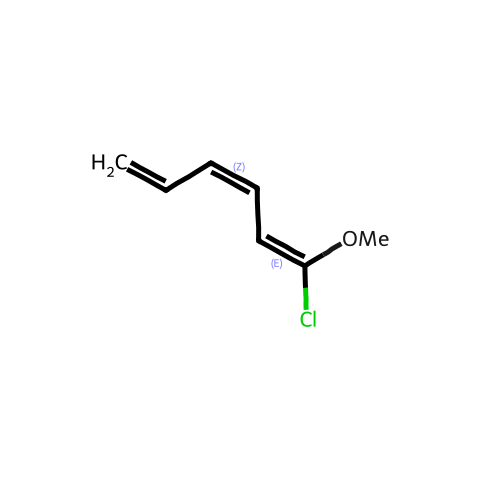 C=C/C=C\C=C(\Cl)OC